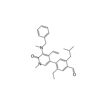 C=Cc1c(-c2cc(CC(C)C)c(C=O)cc2CC)cn(C)c(=O)c1N(C)Cc1ccccc1